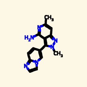 Cc1cc2nn(C)c(-c3ccc4nccn4c3)c2c(N)n1